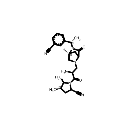 CC1[C@H](C)CC(C#N)N1C(=O)C(N)CN1C[C@@H]2CC1C(=O)N2[C@@H](C)c1cccc(C#N)c1